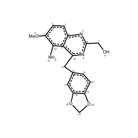 COc1ccc2nc(CO)nc(Cc3ccc4c(c3)OCO4)c2c1N